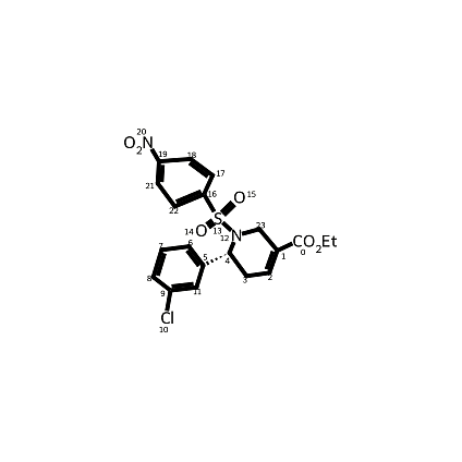 CCOC(=O)C1=CC[C@H](c2cccc(Cl)c2)N(S(=O)(=O)c2ccc([N+](=O)[O-])cc2)C1